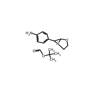 CC(C)(C)OC=O.Nc1ccc(C2C3OCCN32)cc1